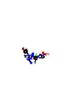 COc1ccc(CN(c2nc(Nc3cc(C#N)cc(N4CCC5C(CCN5C(=O)O)C4)c3Cl)nn3c(C#N)cnc23)C2CC2)cc1